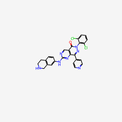 O=c1c2cnc(Nc3ccc4c(c3)CNCC4)nc2c(-c2ccncc2)nn1-c1c(Cl)cccc1Cl